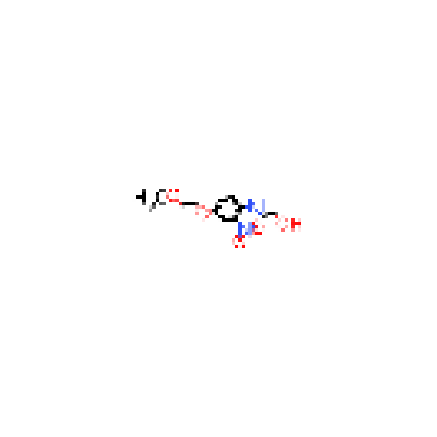 COCCOc1ccc(NCCO)c([N+](=O)[O-])c1